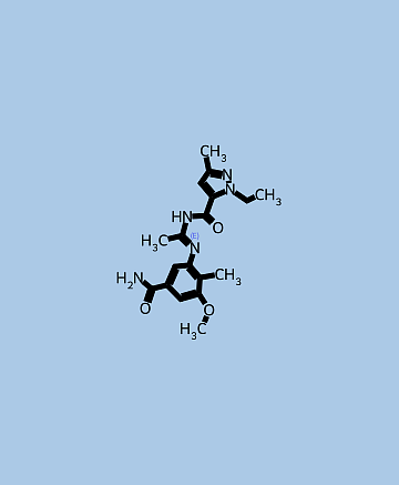 CCn1nc(C)cc1C(=O)N/C(C)=N/c1cc(C(N)=O)cc(OC)c1C